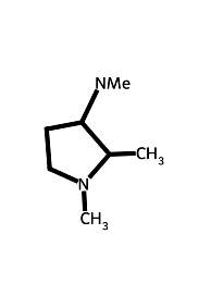 CNC1CCN(C)C1C